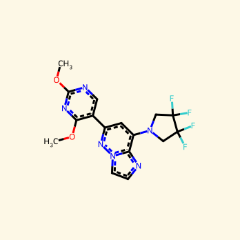 COc1ncc(-c2cc(N3CC(F)(F)C(F)(F)C3)c3nccn3n2)c(OC)n1